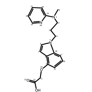 CN(CCCn1ccc2c(OCC(=O)O)cccc21)c1ccccn1